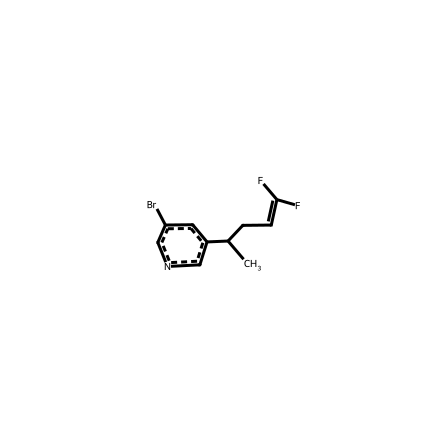 CC(CC=C(F)F)c1cncc(Br)c1